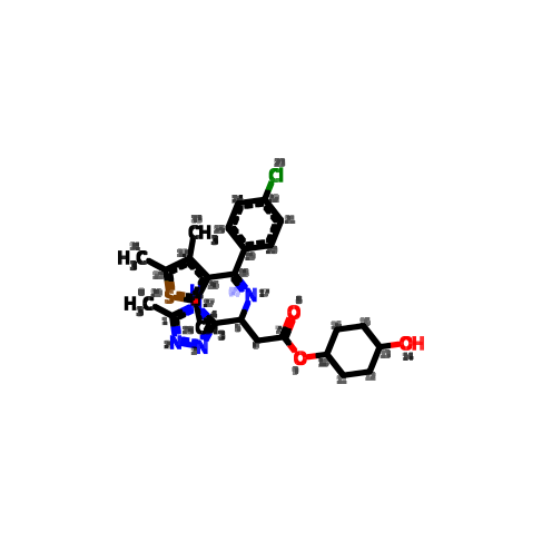 Cc1nnc(C(CC(=O)OC2CCC(O)CC2)/N=C(/c2ccc(Cl)cc2)c2c(C)sc(C)c2C)[nH]1